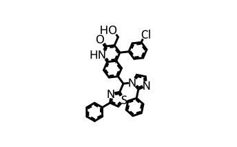 O=c1[nH]c2ccc(C(c3nc(-c4ccccc4)cs3)n3ccnc3-c3ccccc3)cc2c(-c2cccc(Cl)c2)c1CO